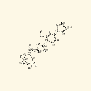 CCc1cc(-c2cnn(C)c2)ccc1-c1nnc(N(C)C2CC(C)(C)NC(C)(C)C2)s1